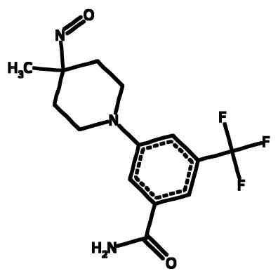 CC1(N=O)CCN(c2cc(C(N)=O)cc(C(F)(F)F)c2)CC1